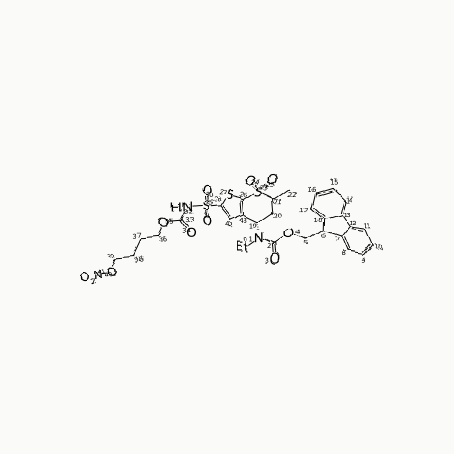 CCN(C(=O)OCC1c2ccccc2-c2ccccc21)[C@H]1CC(C)S(=O)(=O)c2sc(S(=O)(=O)NC(=O)OCCCCO[N+](=O)[O-])cc21